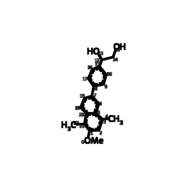 COc1cc(C)c2cc(-c3ccc(C(O)CO)cc3)ccc2c1C